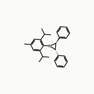 Cc1cc(C(C)C)c(N2[C@@H](c3ccccc3)[C@@H]2c2ccccc2)c(C(C)C)c1